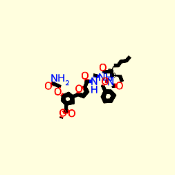 CCCCC[C@@H](C(=O)NCNC(=O)c1ccc(-c2cc(OCC(N)=O)cc(C(=O)OC)c2)o1)[C@@H](CC)N(C=O)OCc1ccccc1